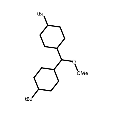 COOC(C1CCC(C(C)(C)C)CC1)C1CCC(C(C)(C)C)CC1